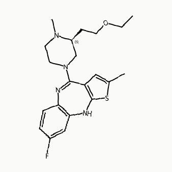 CCOCC[C@H]1CN(C2=Nc3ccc(F)cc3Nc3sc(C)cc32)CCN1C